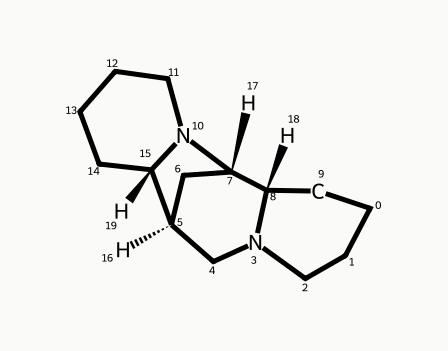 C1CCN2C[C@@H]3C[C@@H]([C@@H]2C1)N1CCCC[C@@H]31